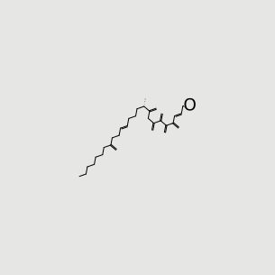 C=C(CC/C=C/CCC[C@H](C)C(=C)CC(=C)C(=C)C(=C)C(=C)/C=C/C=O)CCCCCCC